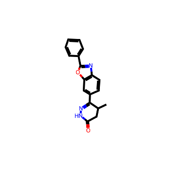 CC1CC(=O)NN=C1c1ccc2nc(-c3ccccc3)oc2c1